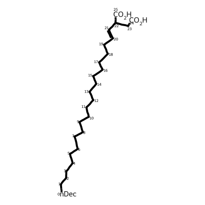 CCCCCCCCCCCCCCCCCCCCCCCCCCCCCC=CC(CC(=O)O)C(=O)O